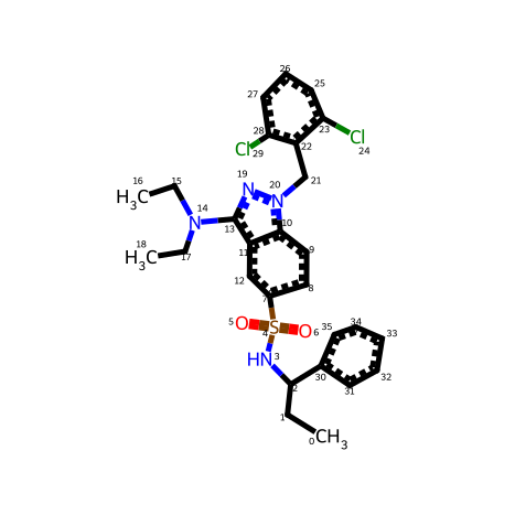 CCC(NS(=O)(=O)c1ccc2c(c1)c(N(CC)CC)nn2Cc1c(Cl)cccc1Cl)c1ccccc1